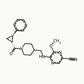 COc1nc(C#N)cnc1NCC1CCN(C(=O)[C@@H]2C[C@H]2c2ccccc2)CC1